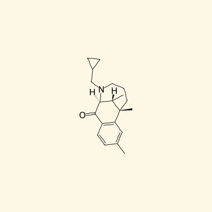 Cc1ccc2c(c1)[C@@]1(C)CCCN(CC3CC3)[C@H](C2=O)[C@@H]1C